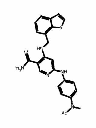 CC(=O)N(C)c1ccc(Nc2cc(NCc3cccc4ccsc34)c(C(N)=O)cn2)cc1